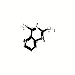 Cc1nc(N)c2ncccc2n1